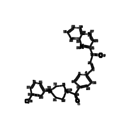 O=C(C=Cc1ccc(C(=O)N2CCN(c3cccc(Cl)c3)CC2)cc1)c1cnc2ccccc2n1